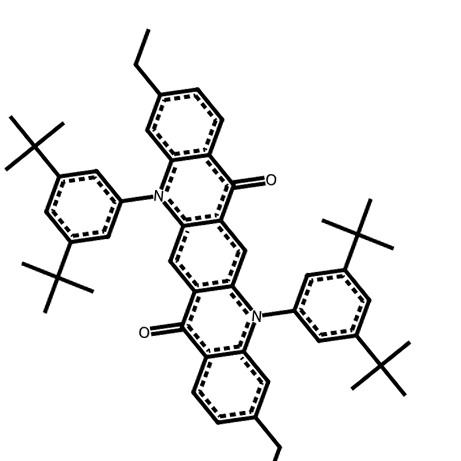 CCc1ccc2c(=O)c3cc4c(cc3n(-c3cc(C(C)(C)C)cc(C(C)(C)C)c3)c2c1)c(=O)c1ccc(CC)cc1n4-c1cc(C(C)(C)C)cc(C(C)(C)C)c1